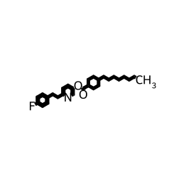 CCCCCCCCC1CCC(C(=O)Oc2ccc(CCc3ccc(F)cc3)nc2)CC1